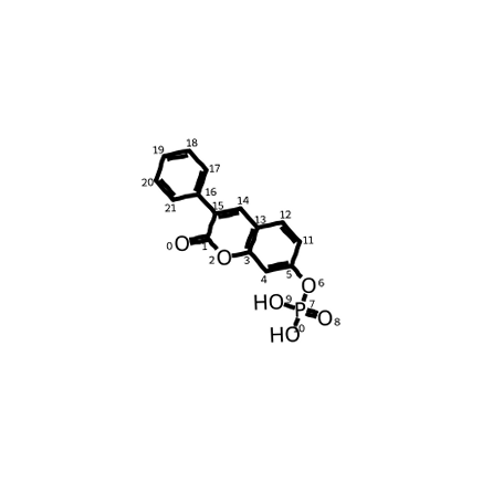 O=c1oc2cc(OP(=O)(O)O)ccc2cc1-c1ccccc1